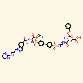 COC(=O)[C@H](CNC(=O)c1ccc2c(cnn2CCCNC2=NCCCN2)c1)NS(=O)(=O)c1ccc(-c2ccc(S(=O)(=O)NCCNC(=O)[C@H](CCC(=O)O)NC(=O)OCc3ccccc3)cc2)cc1